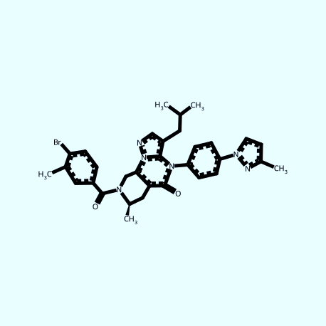 Cc1ccn(-c2ccc(-n3c(=O)c4c(n5ncc(CC(C)C)c35)CN(C(=O)c3ccc(Br)c(C)c3)[C@H](C)C4)cc2)n1